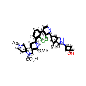 COc1cc(-c2nccc(-c3cccc(-c4ccc(CN(C(=O)O)C5CCN(C(C)=O)CC5)c(OC)n4)c3Cl)c2Cl)ccc1CNC1CC(C)(O)C1